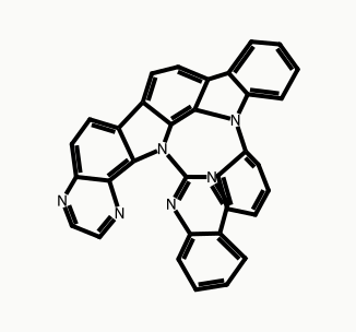 c1ccc(-n2c3ccccc3c3ccc4c5ccc6nccnc6c5n(-c5ncc6ccccc6n5)c4c32)cc1